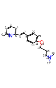 Cc1cccc(/C=C/c2ccc(OCCCN(C)C)cc2)n1